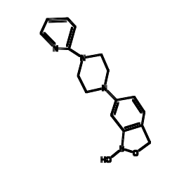 OB1OCc2ccc(N3CCN(c4ccccn4)CC3)cc21